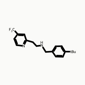 CC(C)(C)c1ccc(CNCCc2cc(C(F)(F)F)ccn2)cc1